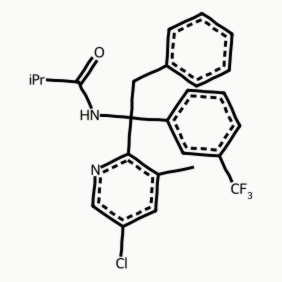 Cc1cc(Cl)cnc1C(Cc1ccccc1)(NC(=O)C(C)C)c1cccc(C(F)(F)F)c1